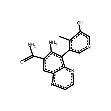 Cc1c(O)cncc1-c1c(N)c(C(N)=O)cc2nccnc12